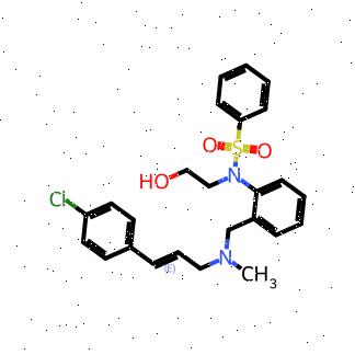 CN(C/C=C/c1ccc(Cl)cc1)Cc1ccccc1N(CCO)S(=O)(=O)c1ccccc1